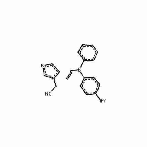 C=CB(c1ccccc1)c1ccc(C(C)C)cc1.N#CCn1ccnc1